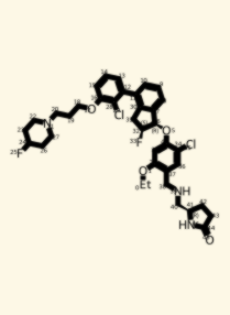 CCOc1cc(O[C@@H]2c3cccc(-c4cccc(OCCCN5CCC(F)CC5)c4Cl)c3C[C@@H]2F)c(Cl)cc1CNC[C@H]1CCC(=O)N1